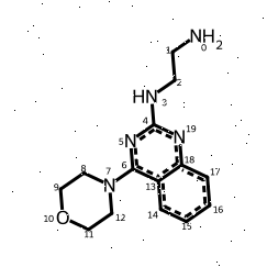 NCCNc1nc(N2CCOCC2)c2ccccc2n1